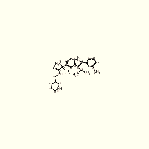 Cc1cc(-c2[nH]c3ccc(C(C)(C)C(=O)NCC4CCCNC4)cc3c2C(C)C)ccn1